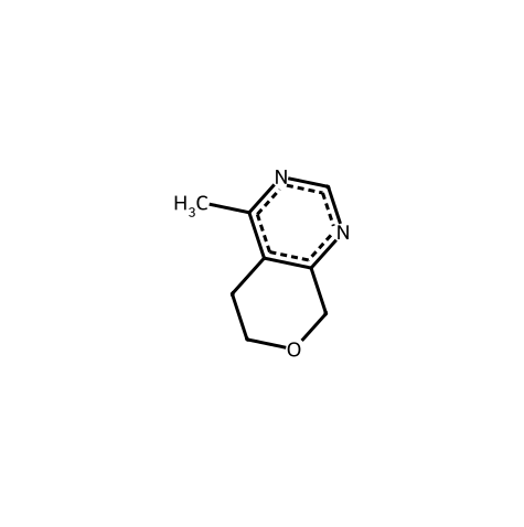 Cc1ncnc2c1CCOC2